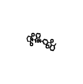 Cc1ccccc1C(=O)c1ccc(Nc2ccccc2C(C)N2C(=O)CCCC2=O)cc1Cl